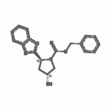 O=C(OCc1ccccc1)N1C[C@H](O)C[C@H]1c1nc2ccccc2o1